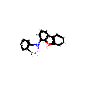 Cc1ccccc1N(I)c1cccc2c3c(oc12)CCC=C3